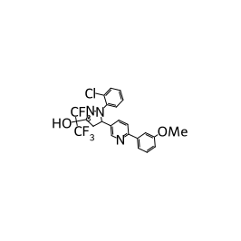 COc1cccc(-c2ccc(C3CC(C(O)(C(F)(F)F)C(F)(F)F)=NN3c3ccccc3Cl)cn2)c1